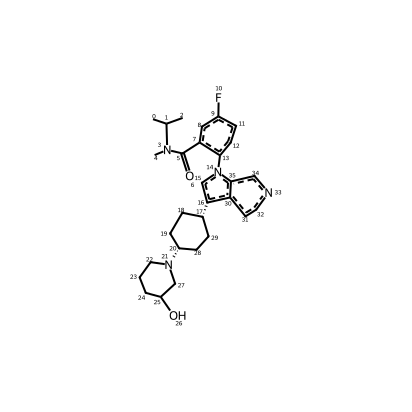 CC(C)N(C)C(=O)c1cc(F)ccc1-n1cc([C@H]2CC[C@@H](N3CCCC(O)C3)CC2)c2ccncc21